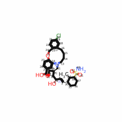 C[C@@H]1[C@@H](/C=C/[C@H](O)[C@@H]2CC[C@H]2CN2CCCCc3cc(Cl)ccc3COc3ccc(C(=O)O)cc32)CCC[C@@H]1S(N)(=O)=O